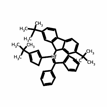 CC(C)(C)C1=CC[C]([Hf](=[C](c2ccccc2)c2ccccc2)[CH]2c3cc(C(C)(C)C)ccc3-c3ccc(C(C)(C)C)cc32)=C1